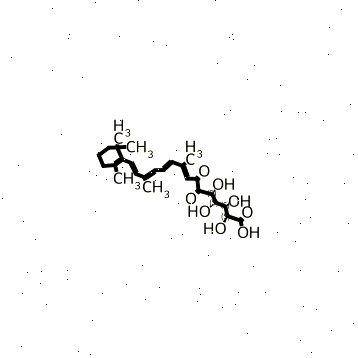 CC(C=CC1=C(C)CCCC1(C)C)=CC=CC(C)=CC(=O)C(=O)[C@H](O)[C@@H](O)[C@H](O)[C@H](O)C(=O)O